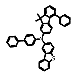 CC1(C)c2cc(N(c3ccc(-c4ccccc4)cc3)c3ccc4sc5ccccc5c4c3)ccc2-c2c(-c3ccccc3)cccc21